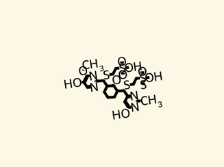 COc1nc(C(SCCS(=O)(=O)O)C2CCCC(C(SCCS(=O)(O)=S)c3cc(O)nc(C)n3)C2=O)ncc1O